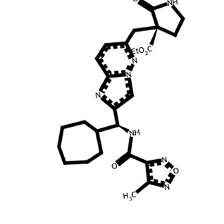 CCOC(=O)[C@]1(Cc2ccc3nc([C@@H](NC(=O)c4nonc4C)C4CCCCCC4)cn3n2)CCNC1=O